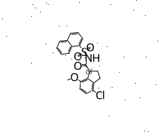 COc1ccc(Cl)c2c1[C@@H](C(=O)NS(=O)(=O)c1cccc3ccccc13)CC2